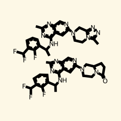 Cc1nc(NC(C)c2cccc(C(F)F)c2F)c2cc(N3CCN4C(=O)CCC4C3)ncc2n1.Cc1nc(NC(C)c2cccc(C(F)F)c2F)c2cc(N3CCn4c(C)nnc4C3)ncc2n1